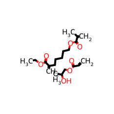 C=C(C)C(=O)OCCCCCC(=C)C(=O)OCC.C=CC(=O)OCC(C)O